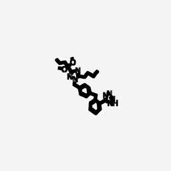 CCCCc1nc(C(CCC)(OC)OC)nn1Cc1ccc(Cc2ccccc2-c2nnn[nH]2)cc1